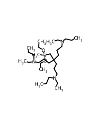 CCCN(CC)CCCC(CCCN(CC)CCC)(CCCN(CC)CCC)C[Si](C)(OCC)OCC